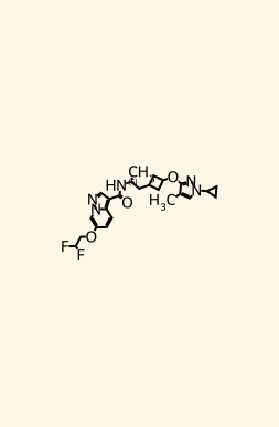 Cc1cn(C2CC2)nc1OC1CC(C[C@H](C)NC(=O)c2cnn3cc(OCC(F)F)ccc23)C1